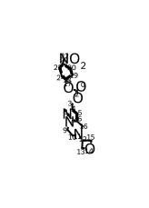 O=C(OCc1cc2n(n1)CCN(C1COC1)C2)Oc1ccc([N+](=O)[O-])cc1